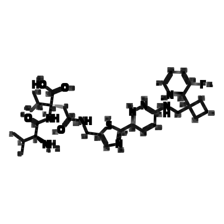 CC(C)[C@H](N)C(=O)N[C@](CC(=O)NCc1cnc(-c2ccc(NCC3(c4ncccc4F)CCC3)nn2)s1)(C(=O)O)C(C)C